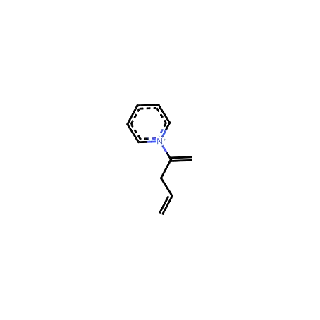 C=CCC(=C)[n+]1ccccc1